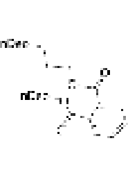 CCCCCCCCCCCCCOC(=O)c1ccccc1C(=O)OCCCCCCCCCC